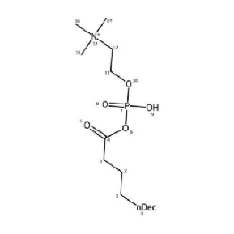 CCCCCCCCCCCCCC(=O)OP(=O)(O)OCC[N+](C)(C)C